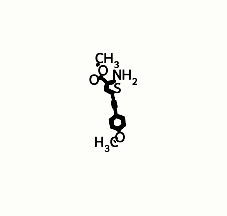 CCOC(=O)c1cc(C#Cc2ccc(OC)cc2)sc1N